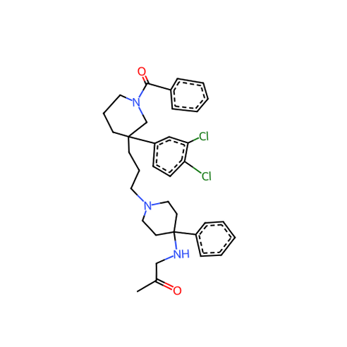 CC(=O)CNC1(c2ccccc2)CCN(CCCC2(c3ccc(Cl)c(Cl)c3)CCCN(C(=O)c3ccccc3)C2)CC1